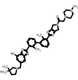 Cc1c(-c2nc3c(o2)CN(C(=O)CN2CCN(C)CC2)C3)cccc1-c1cccc(-c2nc3cc(CN4CCC(C)(C(=O)O)C4)cc(C#N)c3o2)c1C